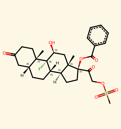 C[C@]12CCC(=O)C[C@H]1CC[C@H]1[C@@H]3CC[C@@](OC(=O)c4ccccc4)(C(=O)COS(C)(=O)=O)[C@@]3(C)C[C@H](O)[C@@]12F